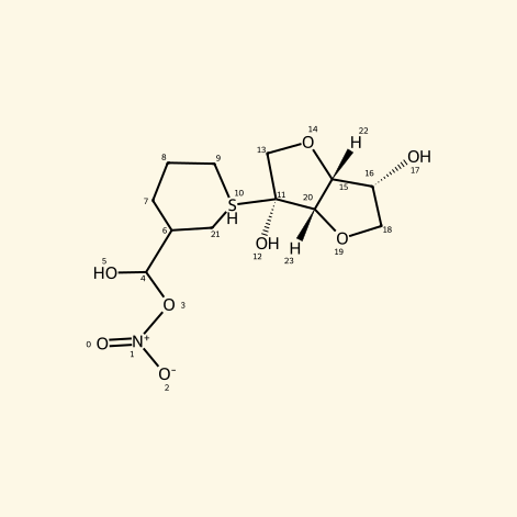 O=[N+]([O-])OC(O)C1CCC[SH]([C@@]2(O)CO[C@@H]3[C@H](O)CO[C@@H]32)C1